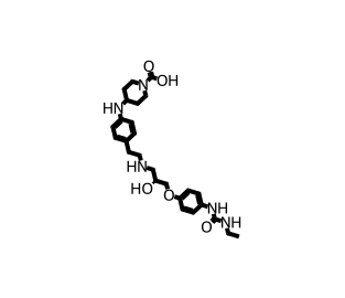 CCNC(=O)Nc1ccc(OC[C@@H](O)CNCCc2ccc(NC3CCN(C(=O)O)CC3)cc2)cc1